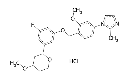 COc1cc(-n2ccnc2C)ccc1COc1cc(F)cc(C2CC(OC)CCO2)c1.Cl